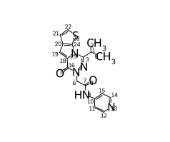 CC(C)c1nn(CC(=O)Nc2ccncc2)c(=O)c2cc3ccsc3n12